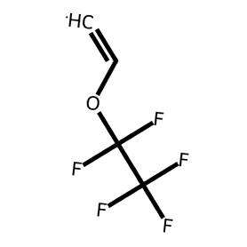 [CH]=COC(F)(F)C(F)(F)F